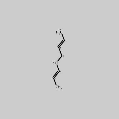 C/C=C/CO/C=C/C